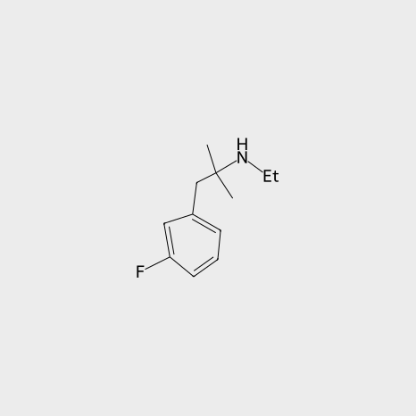 CCNC(C)(C)Cc1cccc(F)c1